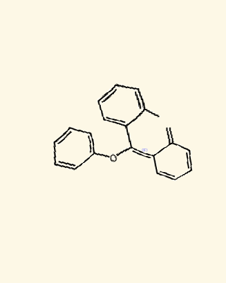 C=c1cccc/c1=C(\Oc1ccccc1)c1ccccc1C